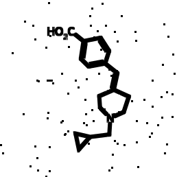 O=C(O)c1ccc(C=C2CCN(CC3CC3)CC2)cc1